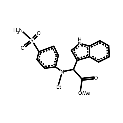 CCN(c1ccc(S(N)(=O)=O)cc1)C(C(=O)OC)c1c[nH]c2ccccc12